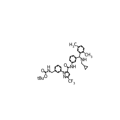 Cc1ccc(C)c(C(NCC2CC2)c2cccc(NC(=O)c3cc(C(F)(F)F)nn3-c3cccc(CNC(=O)OC(C)(C)C)c3)c2)c1